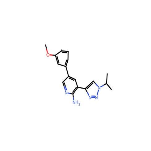 COc1[c]ccc(-c2cnc(N)c(-c3cn(C(C)C)nn3)c2)c1